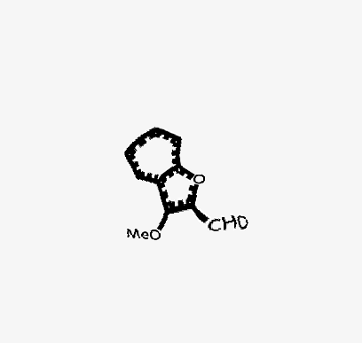 COc1c(C=O)oc2ccccc12